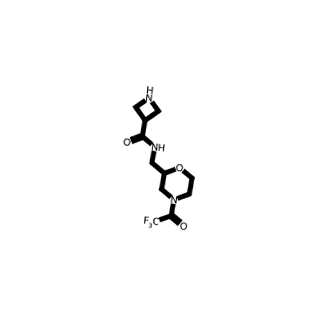 O=C(NCC1CN(C(=O)C(F)(F)F)CCO1)C1CNC1